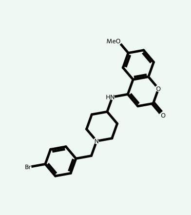 COc1ccc2oc(=O)cc(NC3CCN(Cc4ccc(Br)cc4)CC3)c2c1